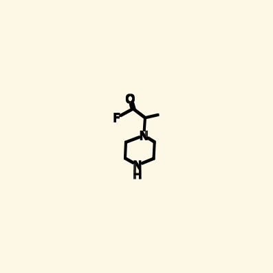 CC(C(=O)F)N1CCNCC1